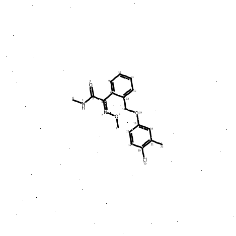 CNC(=O)/C(=N/OC)c1ccccc1COc1ccc(Cl)c(C)c1